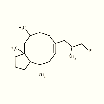 CC(C)CC(N)C/C1=C/CC(C)C2CCCC2(C)CC(C)CC1